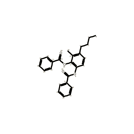 CCCCc1ccc(OC(=O)c2ccccc2)c(OC(=O)c2ccccc2)c1C